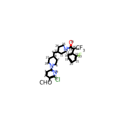 O=Cc1ccc(N2CCC(CC3CCN(C(=O)C(c4ccccc4F)C(F)(F)F)CC3)CC2)nc1Cl